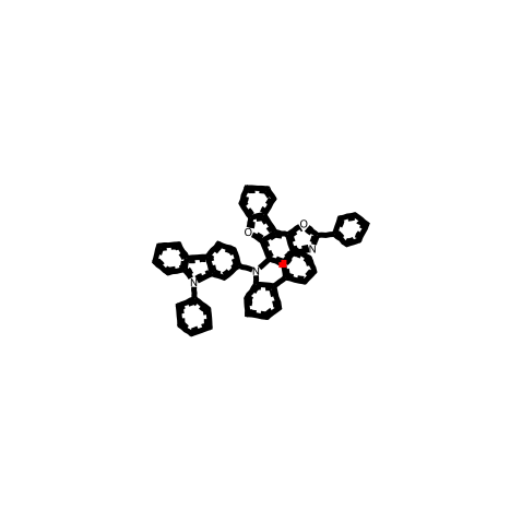 c1ccc(-c2nc3cc(N(c4ccc5c6ccccc6n(-c6ccccc6)c5c4)c4ccccc4-c4ccccc4)c4oc5ccccc5c4c3o2)cc1